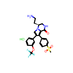 CS(=O)(=O)c1ccc(-c2c(-c3cccc(OC(F)(F)F)c3)cn3c2C(=O)NC[C@@H]3CCN)cc1.Cl